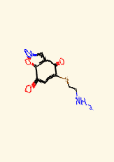 NCCSC1=CC(=O)c2oncc2C1=O